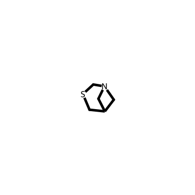 C1SCN2CC1C2